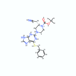 CC(C)(C)OC(=O)N1CCN(c2nc(SCc3ccccc3)c3nc[nH]c3n2)C[C@@H]1CC#N